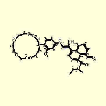 CCN(C)C(=O)c1ccc(/C(N)=C/Nc2ccc(N3CCOCCOCCOCCOCC3)c(OC)c2)c2cccc(C=O)c12